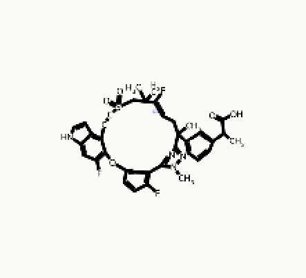 CC(C(=O)O)c1cccc(C2(C)C/C=C(\F)C(C)(C)CS(=O)(=O)CCc3c(c(F)cc4[nH]ccc34)Oc3ccc(F)c(c3)-c3nc2nn3C)c1